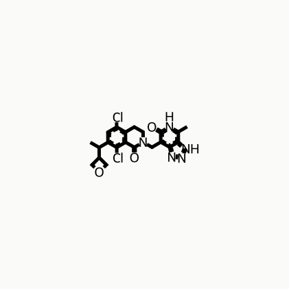 Cc1[nH]c(=O)c(CN2CCc3c(Cl)cc(C(C)C4COC4)c(Cl)c3C2=O)c2nn[nH]c12